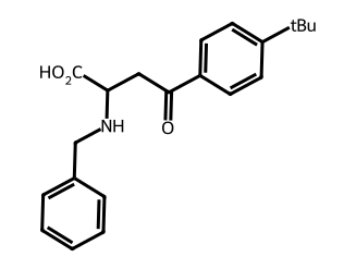 CC(C)(C)c1ccc(C(=O)CC(NCc2ccccc2)C(=O)O)cc1